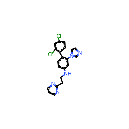 Clc1ccc(-c2ccc(NCCc3ncccn3)cc2-n2ccnc2)c(Cl)c1